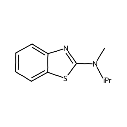 CC(C)N(C)c1nc2ccccc2s1